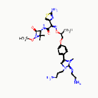 Cn1c(-c2ccc(OCC(O/N=C(\C(=O)N[C@@H]3C(=O)N(OS(=O)(=O)O)C3(C)C)c3csc(N)n3)C(=O)O)cc2)cn(CCCN)/c1=N\CCN